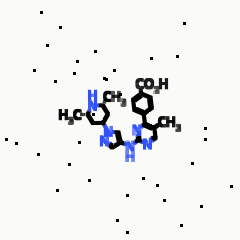 Cc1cnc(Nc2cnn([C@@H]3C[C@@H](C)N[C@@H](C)C3)c2)nc1-c1ccc(C(=O)O)cc1